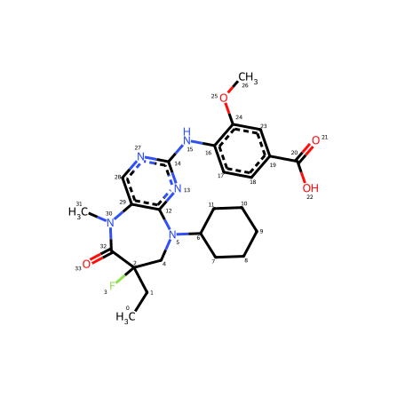 CCC1(F)CN(C2CCCCC2)c2nc(Nc3ccc(C(=O)O)cc3OC)ncc2N(C)C1=O